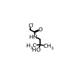 CC(C)(O)CNC(=O)CCl